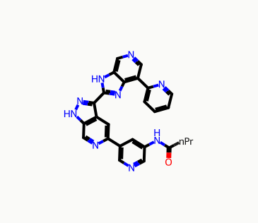 CCCC(=O)Nc1cncc(-c2cc3c(-c4nc5c(-c6ccccn6)cncc5[nH]4)n[nH]c3cn2)c1